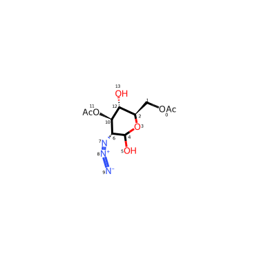 CC(=O)OC[C@H]1OC(O)[C@H](N=[N+]=[N-])[C@@H](OC(C)=O)[C@@H]1O